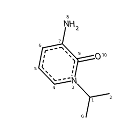 CC(C)n1cccc(N)c1=O